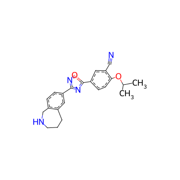 CC(C)Oc1ccc(-c2nc(-c3ccc4c(c3)CCCNC4)no2)cc1C#N